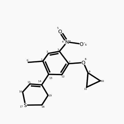 Cc1cc([N+](=O)[O-])c(OC2CC2)cc1C1=CCSCC1